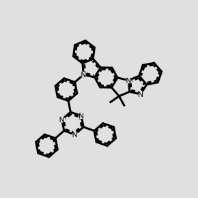 CC1(C)c2cc3c(cc2-n2c1nc1ccccc12)c1ccccc1n3-c1cccc(-c2nc(-c3ccccc3)nc(-c3ccccc3)n2)c1